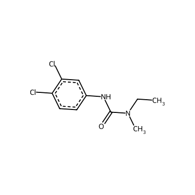 CCN(C)C(=O)Nc1ccc(Cl)c(Cl)c1